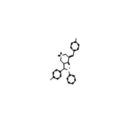 O=S1(=O)CC(=Cc2ccc(Cl)cc2)C2=NN(c3ccccc3)C(c3ccc(Cl)cc3)C2C1